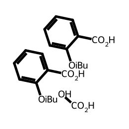 CC(C)COc1ccccc1C(=O)O.CC(C)COc1ccccc1C(=O)O.O=C(O)O